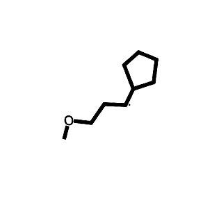 COCC[CH]C1CCCC1